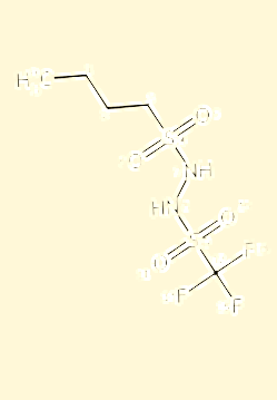 CCCCS(=O)(=O)NNS(=O)(=O)C(F)(F)F